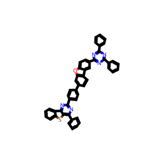 c1ccc(-c2nc(-c3ccccc3)nc(-c3ccc4oc5cc(-c6ccc(-c7nc(-c8ccccc8)c8sc9ccccc9c8n7)cc6)ccc5c4c3)n2)cc1